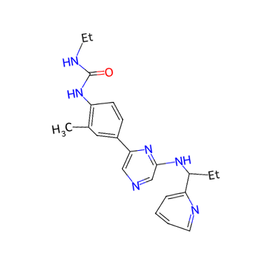 CCNC(=O)Nc1ccc(-c2cncc(NC(CC)c3ccccn3)n2)cc1C